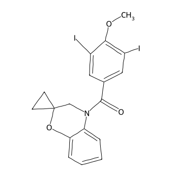 COc1c(I)cc(C(=O)N2CC3(CC3)Oc3ccccc32)cc1I